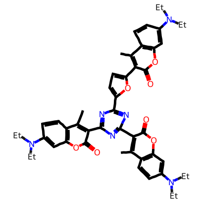 CCN(CC)c1ccc2c(C)c(-c3nc(-c4ccc(-c5c(C)c6ccc(N(CC)CC)cc6oc5=O)o4)nc(-c4c(C)c5ccc(N(CC)CC)cc5oc4=O)n3)c(=O)oc2c1